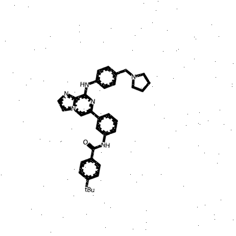 CC(C)(C)c1ccc(C(=O)Nc2cccc(-c3cn4ccnc4c(Nc4ccc(CN5CCCC5)cc4)n3)c2)cc1